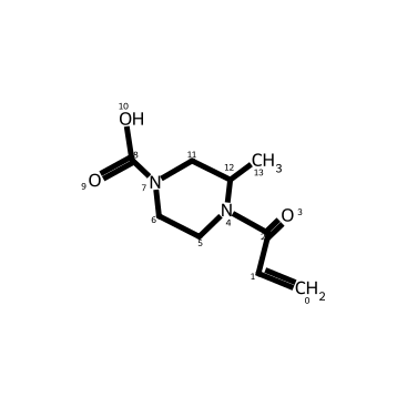 C=CC(=O)N1CCN(C(=O)O)CC1C